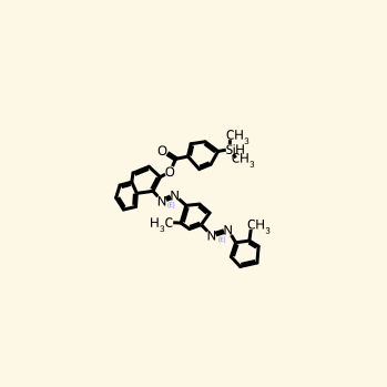 Cc1ccccc1/N=N/c1ccc(/N=N/c2c(OC(=O)c3ccc([SiH](C)C)cc3)ccc3ccccc23)c(C)c1